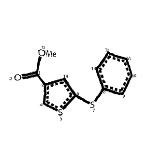 COC(=O)c1csc(Sc2ccccc2)c1